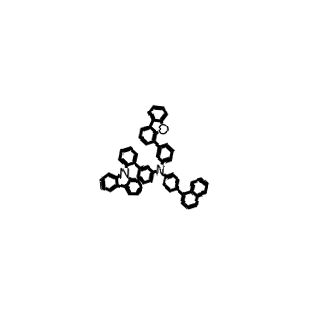 c1cc(-c2ccccc2-n2c3ccccc3c3ccccc32)cc(N(c2ccc(-c3cccc4ccccc34)cc2)c2cccc(-c3cccc4c3oc3ccccc34)c2)c1